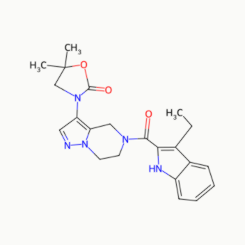 CCc1c(C(=O)N2CCn3ncc(N4CC(C)(C)OC4=O)c3C2)[nH]c2ccccc12